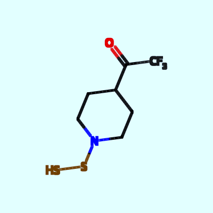 O=C(C1CCN(SS)CC1)C(F)(F)F